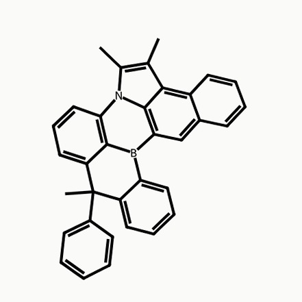 Cc1c(C)n2c3c(cc4ccccc4c13)B1c3ccccc3C(C)(c3ccccc3)c3cccc-2c31